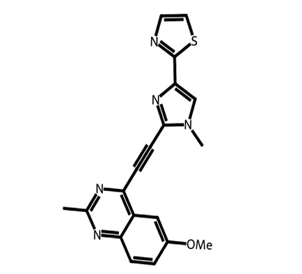 COc1ccc2nc(C)nc(C#Cc3nc(-c4nccs4)cn3C)c2c1